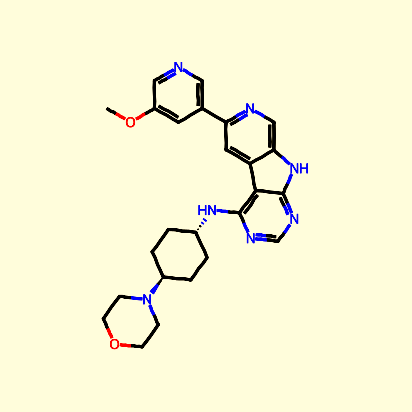 COc1cncc(-c2cc3c(cn2)[nH]c2ncnc(N[C@H]4CC[C@H](N5CCOCC5)CC4)c23)c1